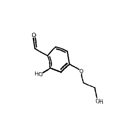 O=Cc1ccc(OCCO)cc1O